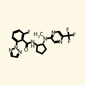 CN(c1cnc(C(F)(F)F)cn1)[C@H]1CCCC1NC(=O)c1c(F)cccc1-n1nccn1